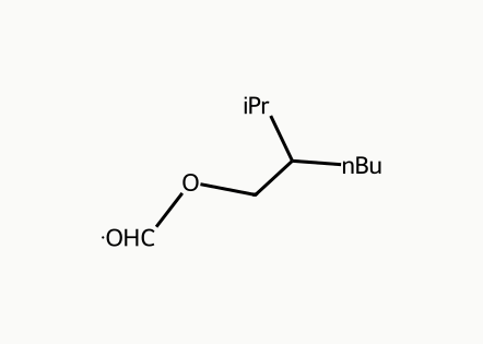 CCCCC(CO[C]=O)C(C)C